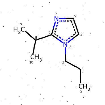 [CH2]CCn1ccnc1C(C)C